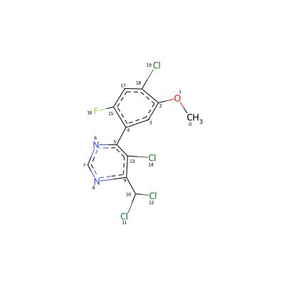 COc1cc(-c2ncnc(C(Cl)Cl)c2Cl)c(F)cc1Cl